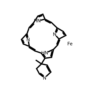 CC1(c2cc3cc4nc(cc5ccc(cc6nc(cc2[nH]3)C=C6)[nH]5)C=C4)C=CN=CC1.[Fe]